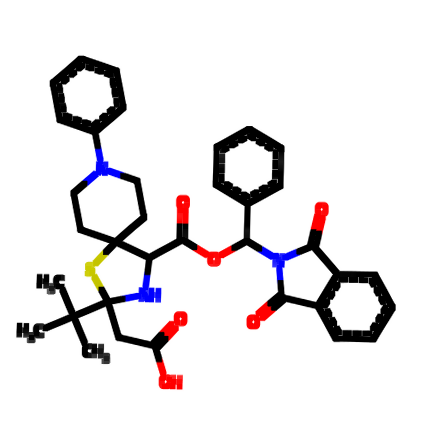 CC(C)(C)C1(CC(=O)O)NC(C(=O)OC(c2ccccc2)N2C(=O)c3ccccc3C2=O)C2(CCN(c3ccccc3)CC2)S1